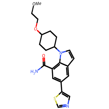 COCCOC1CCC(n2ccc3cc(-c4cncs4)cc(C(N)=O)c32)CC1